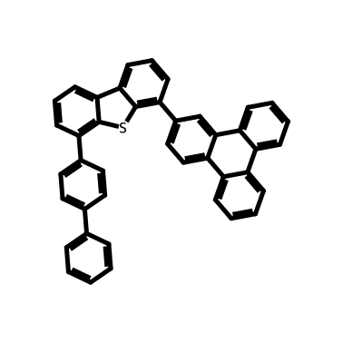 c1ccc(-c2ccc(-c3cccc4c3sc3c(-c5ccc6c7ccccc7c7ccccc7c6c5)cccc34)cc2)cc1